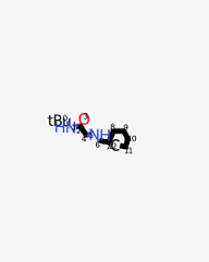 CC(C)(C)NC(=O)CNCC1CCCCC1